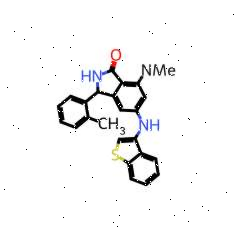 CNc1cc(Nc2csc3ccccc23)cc2c1C(=O)NC2c1ccccc1C